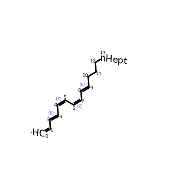 [CH]=C/C=C/C=C\C=C/C=C/CCCCCCCCCC